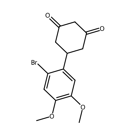 COc1cc(Br)c(C2CC(=O)CC(=O)C2)cc1OC